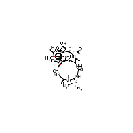 CC[C@H](C)[C@@H]1NC(=O)CNC(=O)C2Cc3c([nH]c4ccccc34)SCC(NC(=O)CNC1=O)C(=O)N[C@@H](CC(=O)O)C(=O)N1C[C@H](O)C[C@@]1(C=O)N[C@@H]([C@@H](C)[C@@H](O)CO)C(=O)N2